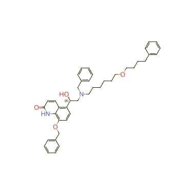 O=c1ccc2c([C@@H](O)CN(CCCCCCOCCCCc3ccccc3)Cc3ccccc3)ccc(OCc3ccccc3)c2[nH]1